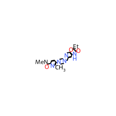 CC[C@H]1Oc2cnc(CN3CCN(c4ccc(C(=O)NC)nc4C)CC3)cc2NC1=O